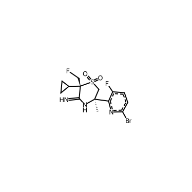 C[C@@]1(c2nc(Br)ccc2F)CS(=O)(=O)[C@@](CF)(C2CC2)C(=N)N1